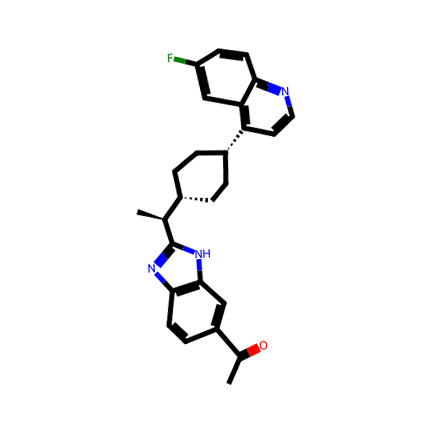 CC(=O)c1ccc2nc([C@@H](C)[C@H]3CC[C@@H](c4ccnc5ccc(F)cc54)CC3)[nH]c2c1